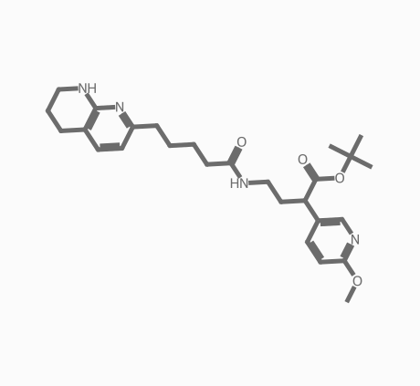 COc1ccc(C(CCNC(=O)CCCCc2ccc3c(n2)NCCC3)C(=O)OC(C)(C)C)cn1